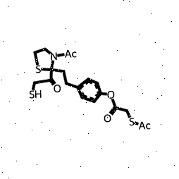 CC(=O)SCC(=O)Oc1ccc(CCC2(C(=O)CS)SCCN2C(C)=O)cc1